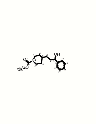 CC(C)(C)OC(=O)N1CCC(CCC(O)c2ccccc2)CC1